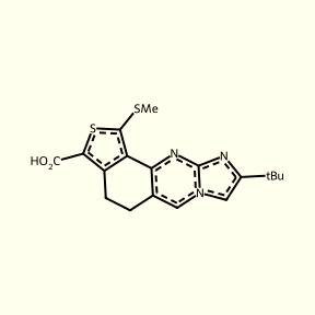 CSc1sc(C(=O)O)c2c1-c1nc3nc(C(C)(C)C)cn3cc1CC2